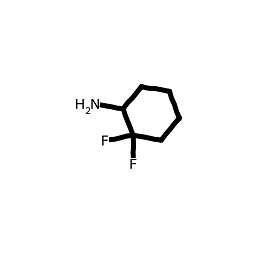 NC1CCCCC1(F)F